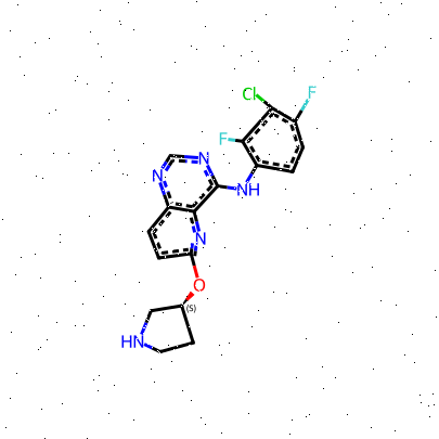 Fc1ccc(Nc2ncnc3ccc(O[C@H]4CCNC4)nc23)c(F)c1Cl